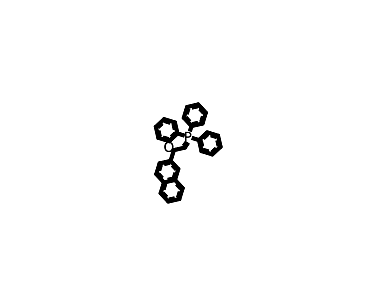 O=C(C=P(c1ccccc1)(c1ccccc1)c1ccccc1)c1ccc2ccccc2c1